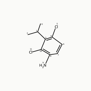 CC(C)c1c(Cl)ccc(N)c1Cl